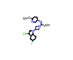 COc1ccc(/N=C(/SC)N2CC(n3cc(Cl)c4cc(F)ccc43)C2)cn1